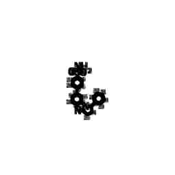 NS(=O)(=O)c1ccc(-c2ccc3nc4n(c3c2)C(c2ccccc2)CC4)cc1